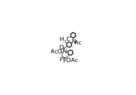 CC(=O)OC1CC(F)(F)C(OC(C)=O)c2ccccc2N1C(=O)c1ccc(N(C(C)=O)c2ccccc2C)cc1